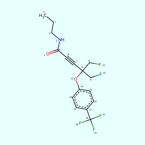 CCCNC(=O)C#CC(CF)(CF)Oc1ccc(C(F)(F)F)cc1